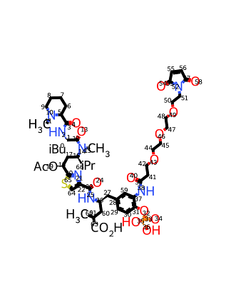 CC[C@H](C)[C@H](NC(=O)C1CCCCN1C)C(=O)N(C)[C@H](C[C@@H](OC(C)=O)c1nc(C(=O)N[C@@H](Cc2ccc(OP(=O)(O)O)c(NC(=O)CCOCCOCCOCCN3C(=O)C=CC3=O)c2)CC(C)C(=O)O)cs1)C(C)C